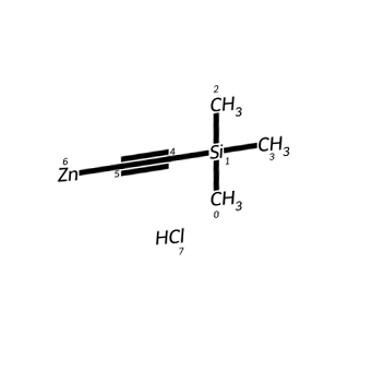 C[Si](C)(C)C#[C][Zn].Cl